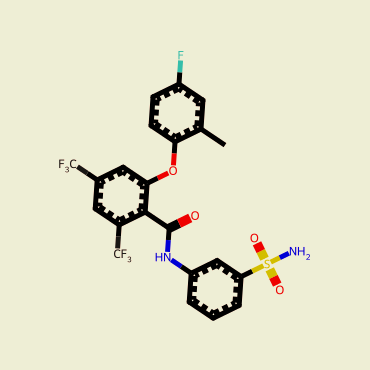 Cc1cc(F)ccc1Oc1cc(C(F)(F)F)cc(C(F)(F)F)c1C(=O)Nc1cccc(S(N)(=O)=O)c1